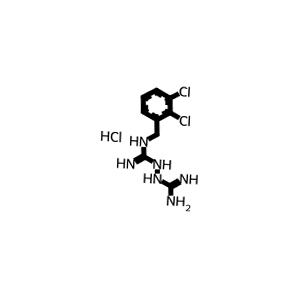 Cl.N=C(N)NNC(=N)NCc1cccc(Cl)c1Cl